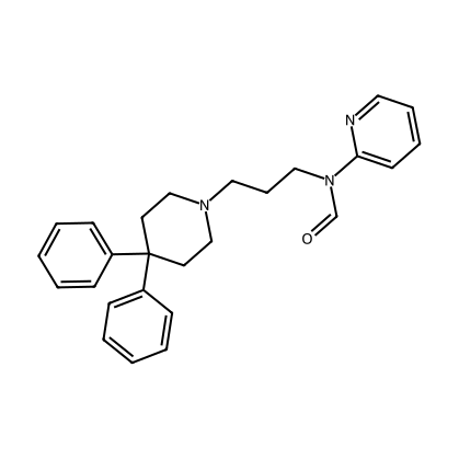 O=CN(CCCN1CCC(c2ccccc2)(c2ccccc2)CC1)c1ccccn1